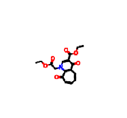 CCOC(=O)Cn1cc(C(=O)OCC)c(=O)c2ccccc(=O)c21